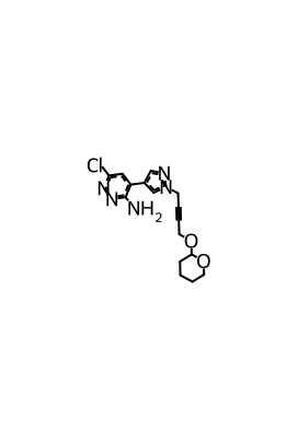 Nc1nnc(Cl)cc1-c1cnn(CC#CCOC2CCCCO2)c1